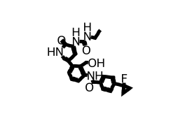 CCNC(=O)Nc1cc(-c2cccc(NC(=O)c3ccc(C4(F)CC4)cc3)c2CO)c[nH]c1=O